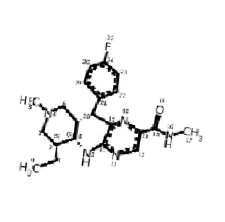 CC[C@H]1CN(C)CC[C@@H]1Nc1ncc(C(=O)NC)nc1Cc1ccc(F)cc1